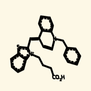 O=C(O)CCC[n+]1c(/C=C2\C=CN(Cc3ccccc3)c3ccccc32)sc2ccccc21